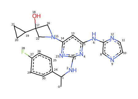 CC(Nc1nc(Nc2cnccn2)cc(N2CC(O)(C3CC3)C2)n1)c1ccc(F)cc1